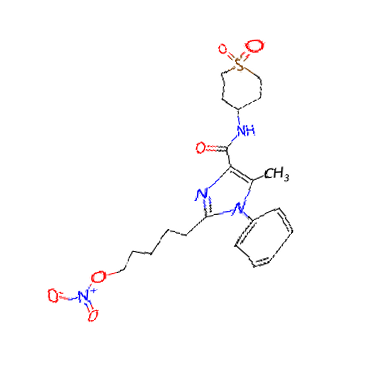 Cc1c(C(=O)NC2CCS(=O)(=O)CC2)nc(CCCCCO[N+](=O)[O-])n1-c1ccccc1